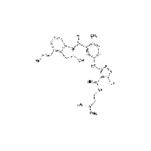 CCCN(C=O)CCNC(=N)c1c(O)nsc1Nc1ccc(C)c(C(=O)N2c3cccc(/C=C/Br)c3CC2O)n1